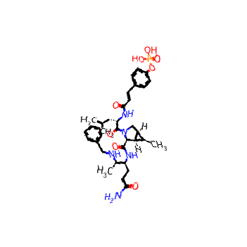 CC(C)C[C@H](NC(=O)/C=C/c1ccc(OP(=O)(O)O)cc1)C(=O)N1C[C@H]2[C@@H](C)[C@H]2[C@H]1C(=O)N[C@@H](CCC(N)=O)[C@@H](C)NCc1ccccc1